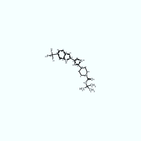 CC(C)(C)OC(=O)N1CCC(c2nc(-c3cc4ccc(C(F)(F)F)cc4o3)cs2)CC1